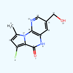 Cc1cc(F)c2c(=O)[nH]c3cc(CO)cnc3n12